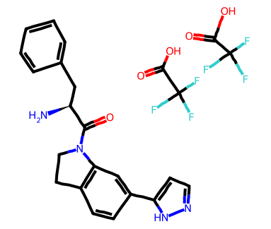 N[C@@H](Cc1ccccc1)C(=O)N1CCc2ccc(-c3ccn[nH]3)cc21.O=C(O)C(F)(F)F.O=C(O)C(F)(F)F